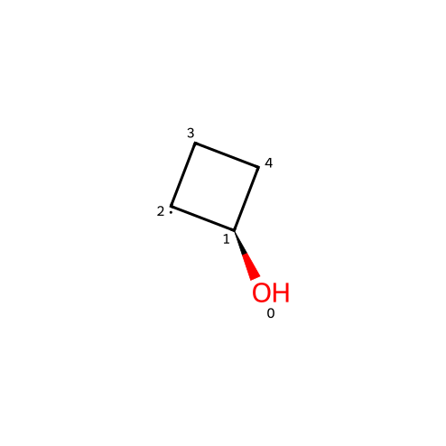 O[C@H]1[CH]CC1